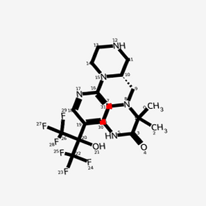 CC1(C)C(=O)NCCN1C[C@H]1CNCCN1c1ncc(C(O)(C(F)(F)F)C(F)(F)F)cn1